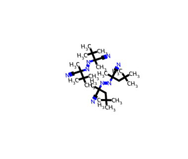 CC(C)(C)C(C)(C#N)N=NC(C)(C#N)C(C)(C)C.CC(C)(C)CC(C)(C#N)N=NC(C)(C#N)CC(C)(C)C